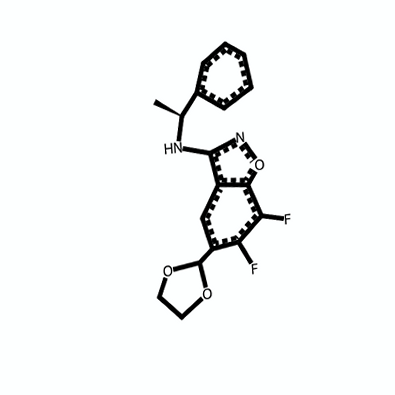 C[C@H](Nc1noc2c(F)c(F)c(C3OCCO3)cc12)c1ccccc1